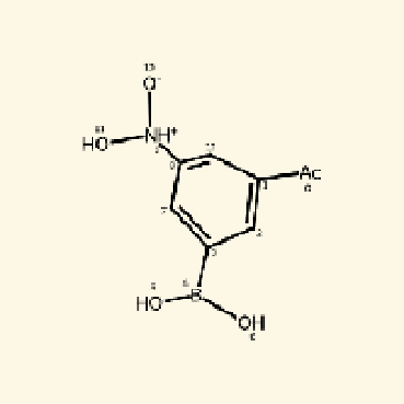 CC(=O)c1cc(B(O)O)cc([NH+]([O-])O)c1